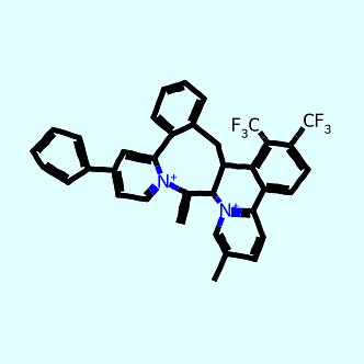 C=C1C2C(Cc3ccccc3-c3cc(-c4ccccc4)cc[n+]31)c1c(ccc(C(F)(F)F)c1C(F)(F)F)-c1ccc(C)c[n+]12